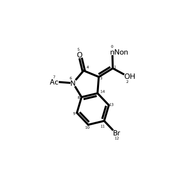 CCCCCCCCCC(O)=C1C(=O)N(C(C)=O)c2ccc(Br)cc21